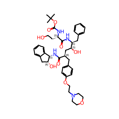 CC(C)(C)OC(=O)N[C@@H](CCO)C(=O)N[C@@H](Cc1ccccc1)[C@@H](O)C[C@@H](Cc1ccc(OCCN2CCOCC2)cc1)C(=O)N[C@H]1c2ccccc2C[C@H]1O